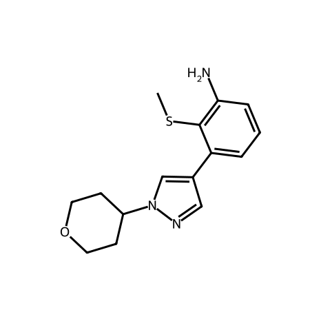 CSc1c(N)cccc1-c1cnn(C2CCOCC2)c1